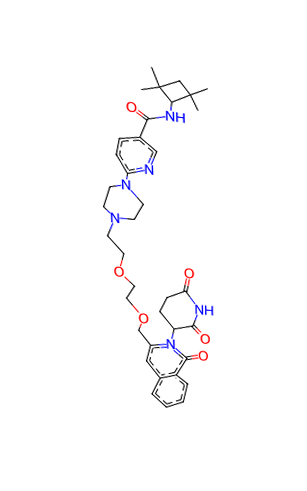 CC1(C)CC(C)(C)C1NC(=O)c1ccc(N2CCN(CCOCCOCc3cc4ccccc4c(=O)n3C3CCC(=O)NC3=O)CC2)nc1